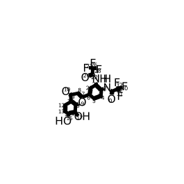 O=C(Nc1ccc(-c2cc(=O)c3ccc(O)c(O)c3o2)cc1NC(=O)C(F)(F)F)C(F)(F)F